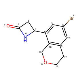 O=C1CC(c2cc(Br)cc3c2COCC3)N1